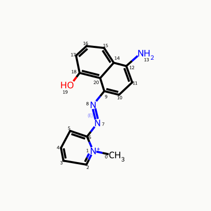 C[n+]1ccccc1/N=N/c1ccc(N)c2cccc(O)c12